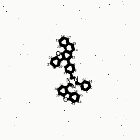 c1ccc(-c2nc(-c3ccc(-c4cc5ccc6ccccc6c5c5oc6ccccc6c45)cc3)nc(-c3cccc4oc5ccccc5c34)n2)cc1